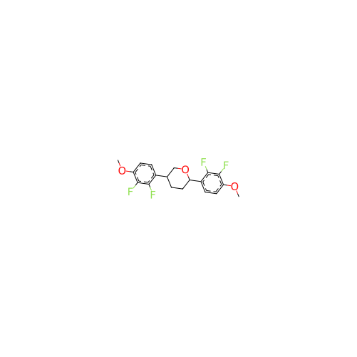 COc1ccc(C2CCC(c3ccc(OC)c(F)c3F)OC2)c(F)c1F